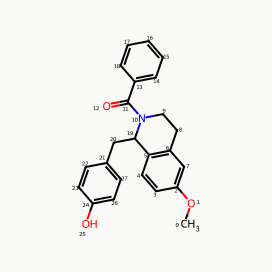 COc1ccc2c(c1)CCN(C(=O)c1ccccc1)C2Cc1ccc(O)cc1